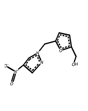 O=[N+]([O-])c1cnn(Cc2ccc(CO)o2)c1